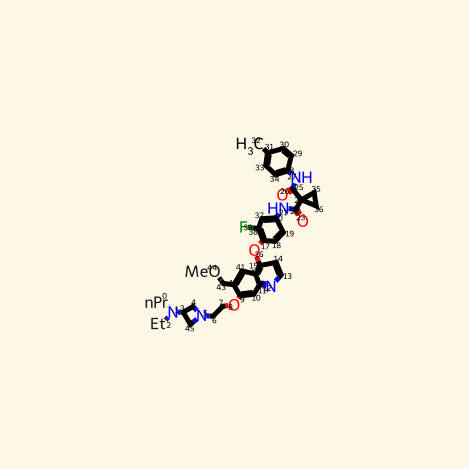 CCCN(CC)C1CN(CCOc2cc3nccc(Oc4ccc(NC(=O)C5(C(=O)Nc6ccc(C)cc6)CC5)cc4F)c3cc2COC)C1